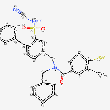 Cc1cc(C(=O)N(Cc2ccccc2)Cc2ccc(-c3ccccc3)c(S(=O)(=O)NC#N)c2)ccc1S